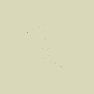 Cc1c(C)n(Cc2ccccc2-c2cccc(C(=O)O)c2)c2ccc(C(=O)N[C@@H](C)c3ccc([N+](=O)[O-])cc3)cc12